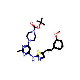 COc1cccc(/C=C/c2cnc(Nc3cc(N4CCN(C(=O)OC(C)(C)C)CC4)nc(C)n3)s2)c1